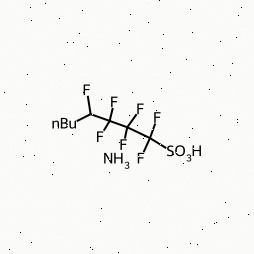 CCCCC(F)C(F)(F)C(F)(F)C(F)(F)S(=O)(=O)O.N